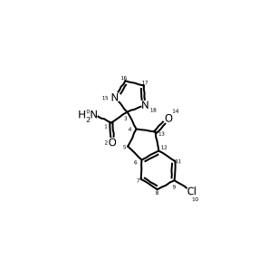 NC(=O)C1(C2Cc3ccc(Cl)cc3C2=O)N=CC=N1